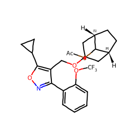 CC(=O)SC1[C@@H]2CC[C@H]1CC(OCc1c(-c3ccccc3OC(F)(F)F)noc1C1CC1)C2